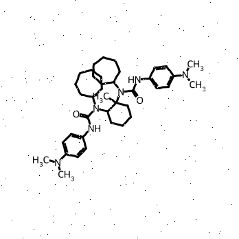 CN(C)c1ccc(NC(=O)N(C2CCCCCC2)C2CCCCC2(C)N(C(=O)Nc2ccc(N(C)C)cc2)C2CCCCCC2)cc1